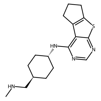 CNC[C@H]1CC[C@H](Nc2ncnc3sc4c(c23)CCC4)CC1